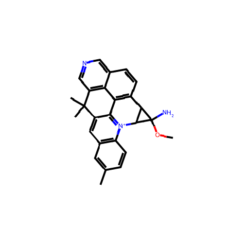 COC1(N)C2c3ccc4cncc5c4c3-c3c(cc4cc(C)ccc4[n+]3C21)C5(C)C